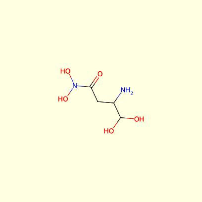 NC(CC(=O)N(O)O)C(O)O